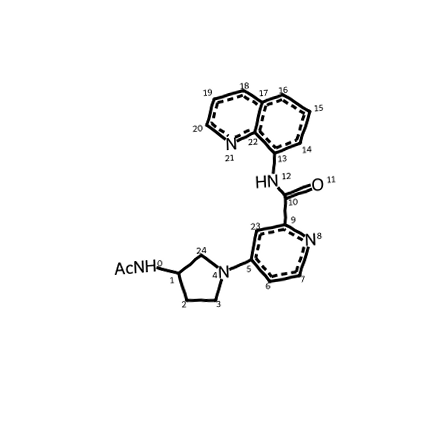 CC(=O)NC1CCN(c2ccnc(C(=O)Nc3cccc4cccnc34)c2)C1